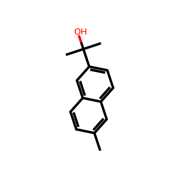 Cc1ccc2cc(C(C)(C)O)ccc2c1